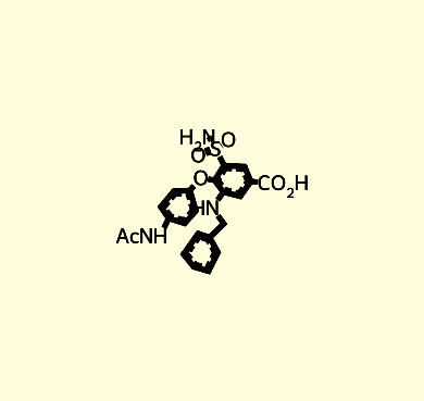 CC(=O)Nc1ccc(Oc2c(NCc3ccccc3)cc(C(=O)O)cc2S(N)(=O)=O)cc1